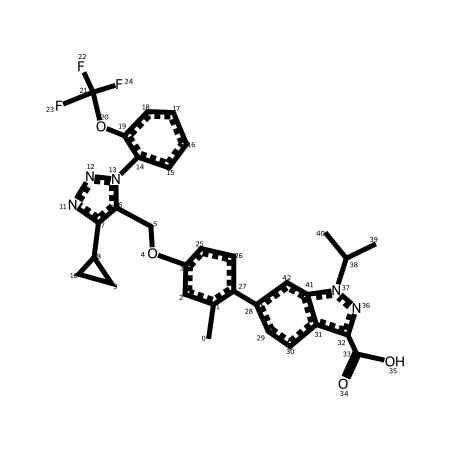 Cc1cc(OCc2c(C3CC3)nnn2-c2ccccc2OC(F)(F)F)ccc1-c1ccc2c(C(=O)O)nn(C(C)C)c2c1